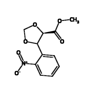 COC(=O)[C@@H]1OCOC1c1ccccc1[N+](=O)[O-]